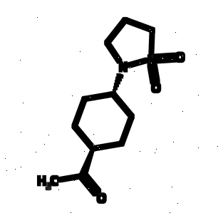 CC(=O)[C@H]1CC[C@H](N2CCCS2(=O)=O)CC1